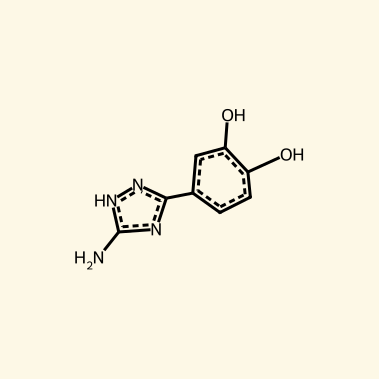 Nc1nc(-c2ccc(O)c(O)c2)n[nH]1